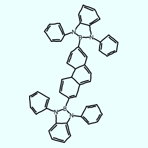 C1=CC2C(=CC=C3C=C(B4N(c5ccccc5)c5ccccc5N4c4ccccc4)C=CC32)C=C1B1N(c2ccccc2)c2ccccc2N1c1ccccc1